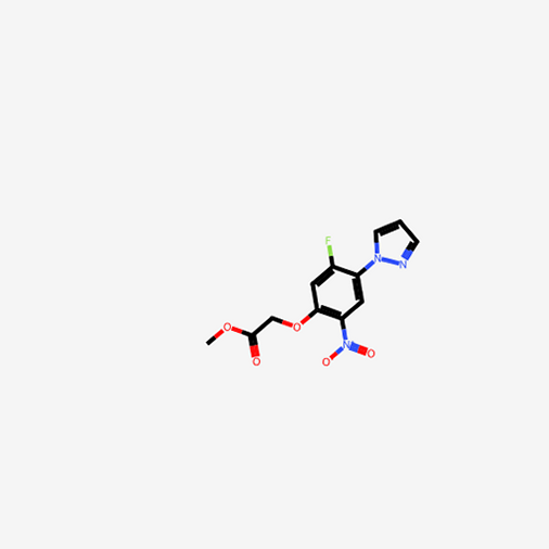 COC(=O)COc1cc(F)c(-n2cccn2)cc1[N+](=O)[O-]